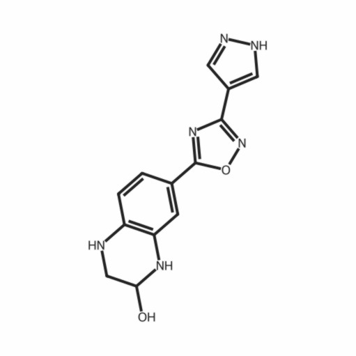 OC1CNc2ccc(-c3nc(-c4cn[nH]c4)no3)cc2N1